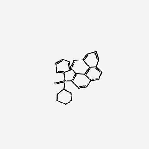 O=P(c1ccccc1)(c1ccc2ccc3cccc4ccc1c2c34)C1CCCCC1